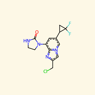 O=C1NCCN1c1cc(C2CC2(F)F)cn2cc(CCl)nc12